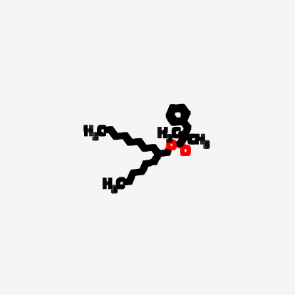 CCCCCCCCC(CCCCCC)COC(=O)C(C)(C)Cc1ccccc1